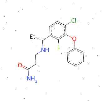 CC[C@@H](NCCC(N)=O)c1ccc(Cl)c(Oc2ccccc2)c1F